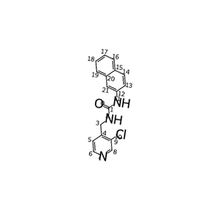 O=C(NCc1ccncc1Cl)Nc1ccc2ccccc2c1